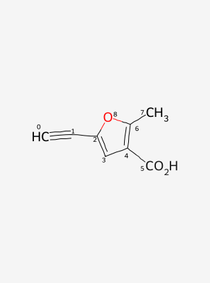 C#Cc1cc(C(=O)O)c(C)o1